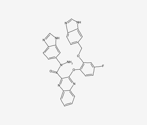 NN(C(=O)c1nc2ccccc2nc1Oc1ccc(F)cc1OCc1ccc2nc[nH]c2c1)c1ccc2nc[nH]c2c1